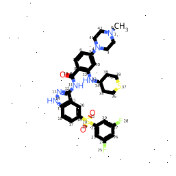 CN1CCN(c2ccc(C(=O)Nc3n[nH]c4ccc(S(=O)(=O)c5cc(F)cc(F)c5)cc34)c(NC3CCSCC3)c2)CC1